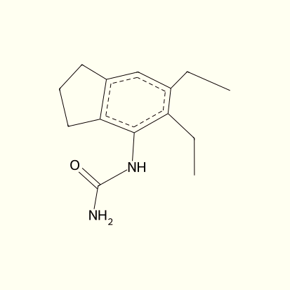 CCc1cc2c(c(NC(N)=O)c1CC)CCC2